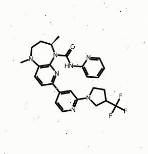 C[C@@H]1CCN(C)c2ccc(-c3ccnc(N4CCC(C(F)(F)F)C4)c3)nc2N1C(=O)Nc1ccccn1